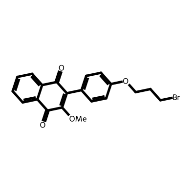 COC1=C(c2ccc(OCCCBr)cc2)C(=O)c2ccccc2C1=O